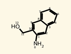 Nc1cc2ccccc2cc1CO